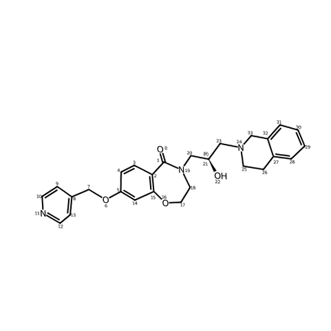 O=C1c2ccc(OCc3ccncc3)cc2OCCN1C[C@H](O)CN1CCc2ccccc2C1